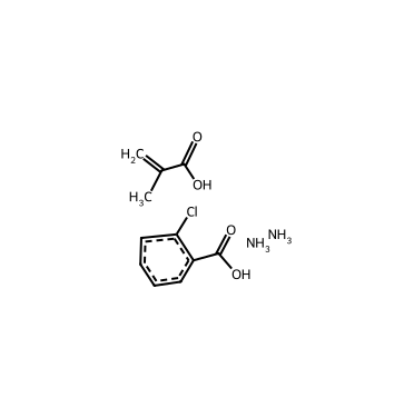 C=C(C)C(=O)O.N.N.O=C(O)c1ccccc1Cl